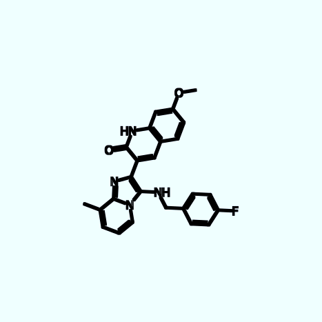 COc1ccc2cc(-c3nc4c(C)cccn4c3NCc3ccc(F)cc3)c(=O)[nH]c2c1